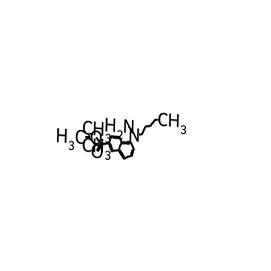 CCCCCN(N)c1cccc2cc(C(=O)OC(C)(C)C)ccc12